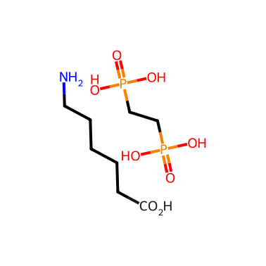 NCCCCCC(=O)O.O=P(O)(O)CCP(=O)(O)O